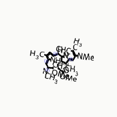 C/N=C(/C=c1\[nH]/c(=C(/C)C2=N/C(=C\C(NC)=C(C)C)[C@@H](C)[C@@H]2CCC(=O)OC)cc1C)C(C)OC